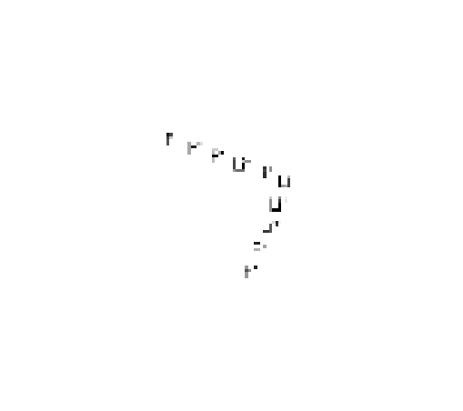 [F-].[F-].[F-].[F-].[F-].[Li+].[Li+].[Li+].[Li+].[Li+]